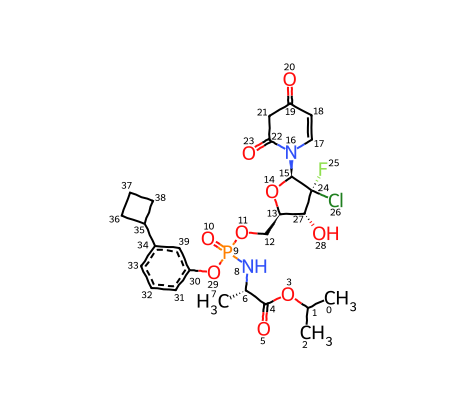 CC(C)OC(=O)[C@H](C)NP(=O)(OC[C@H]1O[C@@H](N2C=CC(=O)CC2=O)[C@@](F)(Cl)[C@@H]1O)Oc1cccc(C2CCC2)c1